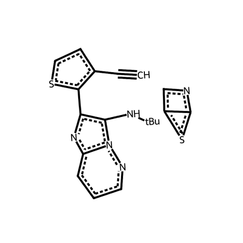 C#Cc1ccsc1-c1nc2cccnn2c1NC(C)(C)C.c1nc2sc1-2